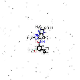 Cc1nc([C@H](C)NC(=O)c2cc(OC(F)(F)F)cc(C3(C#N)CC3)c2)n(-c2cnc(C(=O)O)c(C)n2)n1